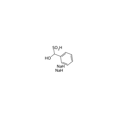 O=S(=O)(O)C(O)c1ccccc1.[NaH].[NaH]